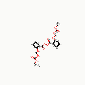 CCOC(=O)OCOc1ccccc1C(=O)OOC(=O)c1ccccc1OCOC(=O)OCC